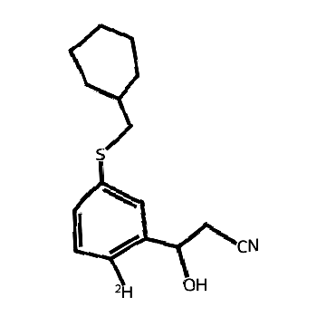 [2H]c1ccc(SCC2CCCCC2)cc1C(O)CC#N